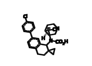 O=C(O)N(C1c2cc(-c3ccc(Cl)cc3)ccc2CCC12CC2)[C@@H]1CN2CCC1CC2